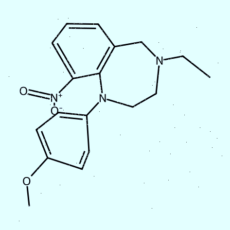 CCN1CCN(c2ccc(OC)cc2)c2c(cccc2[N+](=O)[O-])C1